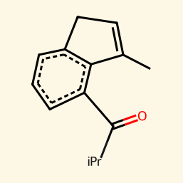 CC1=CCc2cccc(C(=O)C(C)C)c21